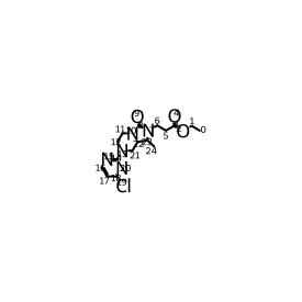 CCOC(=O)CCN1C(=O)N2CCN(c3nccc(Cl)n3)CC2C1C